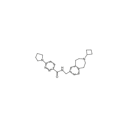 O=C(NCc1ccc2c(c1)CCN(C1CCC1)CC2)c1ccc(N2CCCC2)nn1